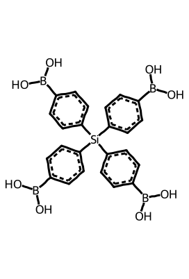 OB(O)c1ccc([Si](c2ccc(B(O)O)cc2)(c2ccc(B(O)O)cc2)c2ccc(B(O)O)cc2)cc1